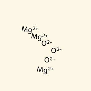 [Mg+2].[Mg+2].[Mg+2].[O-2].[O-2].[O-2]